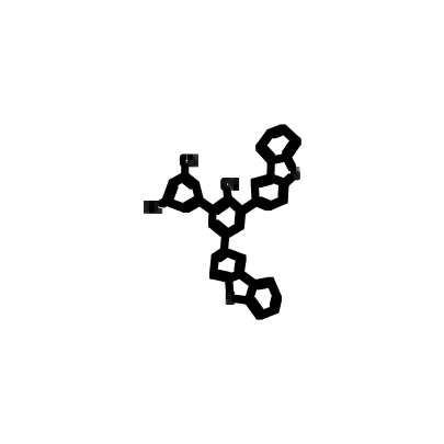 N#Cc1cc(C#N)cc(-c2cc(-c3ccc4sc5ccccc5c4c3)cc(-c3ccc4sc5ccccc5c4c3)c2C#N)c1